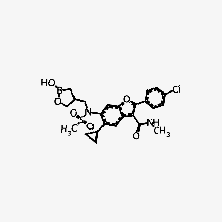 CNC(=O)c1c(-c2ccc(Cl)cc2)oc2cc(N(CC3COB(O)C3)S(C)(=O)=O)c(C3CC3)cc12